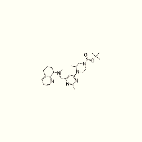 Cc1nc(CN(C)C2CCCc3cccnc32)cc(N2CCN(C(=O)OC(C)(C)C)CC2C)n1